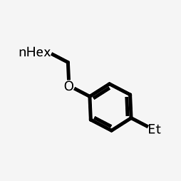 [CH2]Cc1ccc(OCCCCCCC)cc1